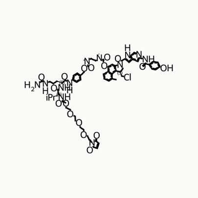 Cc1cccc2c(OC(=O)N(C)CCN(C)C(=O)OCc3ccc(NC(=O)[C@H](CCCNC(N)=O)NC(=O)[C@@H](NC(=O)OCCOCCOCCOCCN4C(=O)C=CC4=O)C(C)C)cc3)cc3c(c12)[C@H](CCl)CN3C(=O)c1cc2cc(NC(=O)c3ccc(O)cc3)ncc2[nH]1